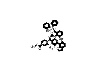 CC(C)c1cccc(CO[Si](c2ccccc2)(c2ccccc2)C(C)(C)C)c1-n1c(=O)nc(N2CCN(C(=O)OC(C)(C)C)C[C@@H]2C)c2cc(F)c(-c3c(F)ccc4ccoc34)nc21